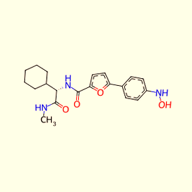 CNC(=O)[C@@H](NC(=O)c1ccc(-c2ccc(NO)cc2)o1)C1CCCCC1